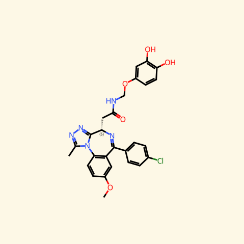 COc1ccc2c(c1)C(c1ccc(Cl)cc1)=N[C@@H](CC(=O)NCOc1ccc(O)c(O)c1)c1nnc(C)n1-2